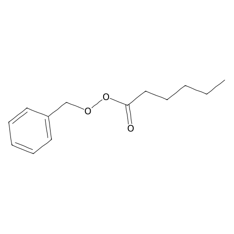 CCCCCC(=O)OOCc1ccccc1